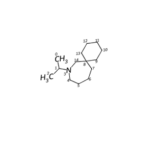 CC(C)N1CCCCC2(CCCCC2)C1